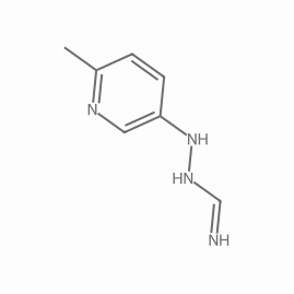 Cc1ccc(NNC=N)cn1